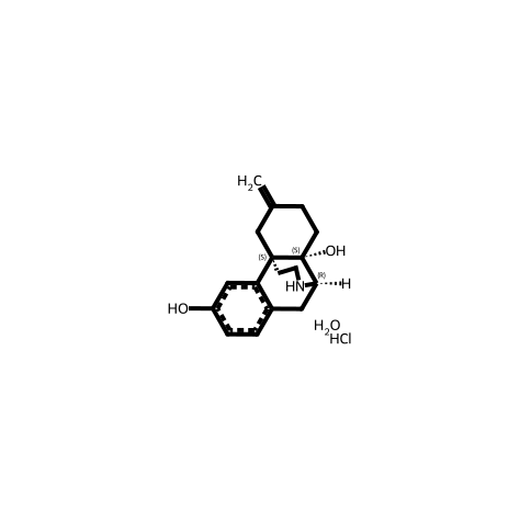 C=C1CC[C@@]2(O)[C@H]3Cc4ccc(O)cc4[C@@]2(CCN3)C1.Cl.O